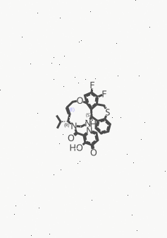 CC(C)[C@@H]1/C=C/COc2cc(F)c(F)c3c2[C@@H](c2ccccc2SC3)N2CN1C(=O)c1c(O)c(=O)ccn12